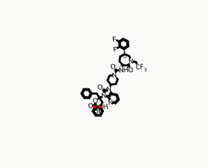 O=C(N[C@@H]1CC[C@@H](c2cccc(F)c2F)CN(CC(F)(F)F)C1=O)N1CCC(n2c(=O)n(C(Cc3ccccc3)(Cc3ccccc3)OP(=O)(O)O)c3ncccc32)CC1